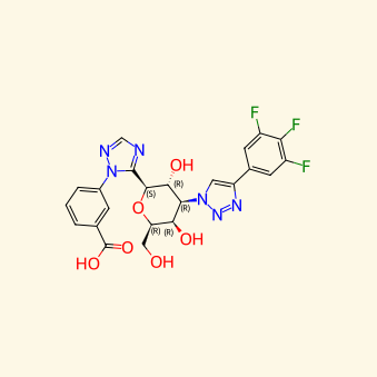 O=C(O)c1cccc(-n2ncnc2[C@@H]2O[C@H](CO)[C@H](O)[C@H](n3cc(-c4cc(F)c(F)c(F)c4)nn3)[C@H]2O)c1